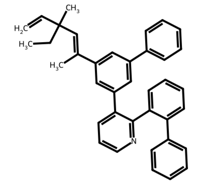 C=CC(C)(/C=C(\C)c1cc(-c2ccccc2)cc(-c2cccnc2-c2ccccc2-c2ccccc2)c1)CC